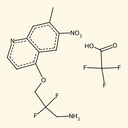 Cc1cc2nccc(OCC(F)(F)CN)c2cc1[N+](=O)[O-].O=C(O)C(F)(F)F